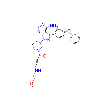 COCCNCC=CC(=O)N1CCC[C@@H](n2nc(-c3ccc(Oc4ccccc4)cc3)c3c(N)ncnc32)C1